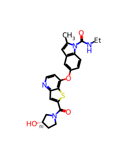 CCNC(=O)n1c(C)cc2cc(Oc3ccnc4cc(C(=O)N5CC[C@H](O)C5)sc34)ccc21